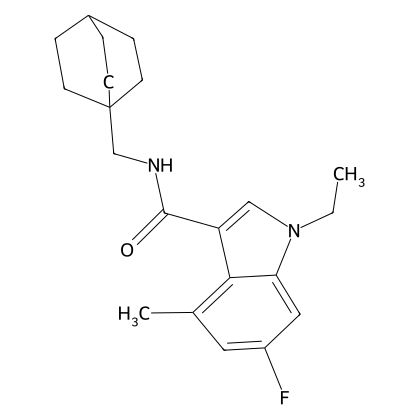 CCn1cc(C(=O)NCC23CCC(CC2)CC3)c2c(C)cc(F)cc21